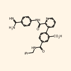 CC(C)CNC(=O)c1ccc(-c2cccnc2C(=O)Nc2ccc(C(=N)N)cc2)c(C(=O)O)c1